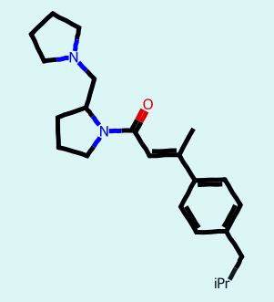 CC(=CC(=O)N1CCCC1CN1CCCC1)c1ccc(CC(C)C)cc1